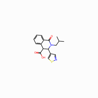 CC(C)CN1C(=O)c2ccccc2C(C(=O)O)C1c1cnsc1